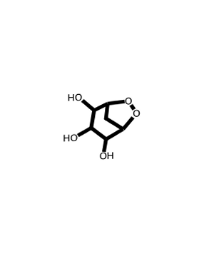 OC1C2CC(OO2)C(O)C1O